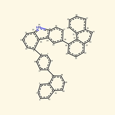 c1ccc2c(-c3ccc(-c4cccc5[nH]c6ccc(-c7cccc8ccc9ccccc9c78)cc6c45)cc3)cccc2c1